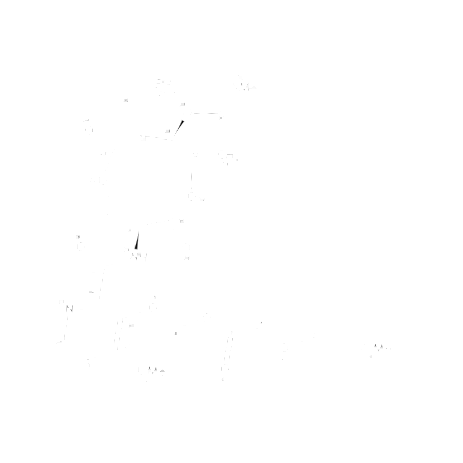 COCCOCC(=O)OCOc1c(OC)ccnc1C(=O)N[C@H]1COC(=O)[C@H](CP)[C@@H](OCSC)[C@H](C)OC1=O